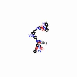 CC(C)(C)[Si](C)(C)O[C@H](CNCCc1ccc(Nc2ccc(CCCN3CCC(OC(=O)Nc4ccccc4-c4ccccc4)CC3)cc2)cc1)c1ccc(OCc2ccccc2)c2[nH]c(=O)ccc12